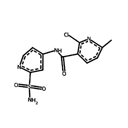 Cc1ccc(C(=O)Nc2ccnc(S(N)(=O)=O)c2)c(Cl)n1